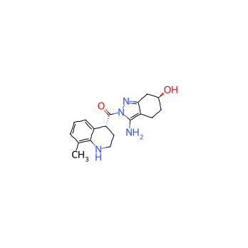 Cc1cccc2c1NCC[C@H]2C(=O)n1nc2c(c1N)CC[C@H](O)C2